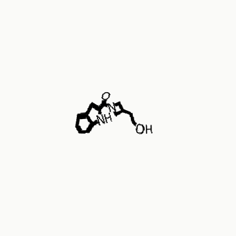 O=C(c1cc2ccccc2[nH]1)N1CC(CCO)C1